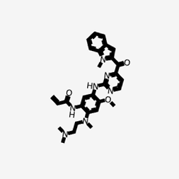 C=CC(=O)Nc1cc(Nc2nccc(C(=O)c3cc4ccccc4n3C)n2)c(OC)cc1N(C)CCN(C)C